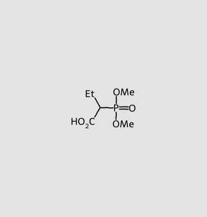 CCC(C(=O)O)P(=O)(OC)OC